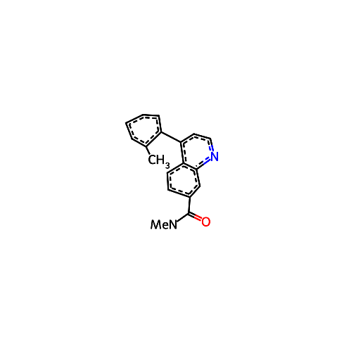 CNC(=O)c1ccc2c(-c3ccccc3C)ccnc2c1